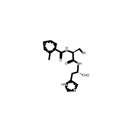 Cc1ccccc1C(=O)N[C@@H](CC(C)C)C(=O)N[C@H](C=O)Cc1cnc[nH]1